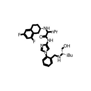 CCCC(N[C@H]1CCc2cc(F)cc(F)c2C1)C(=O)Nc1cn(-c2ccccc2CN[C@H](CO)[C@@H](C)CC)cn1